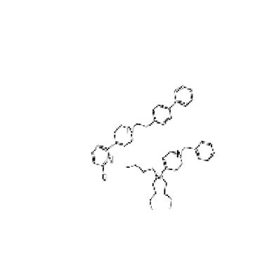 CCC[CH2][Sn]([CH2]CCC)([CH2]CCC)[C]1=CCN(Cc2ccccc2)CC1.Clc1cccc(C2=CCN(CCc3ccc(-c4ccccc4)cc3)CC2)n1